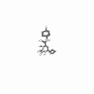 CN1C(C(=O)Nc2ccc(Cl)cc2)CC(c2cccs2)NS1(=O)=O